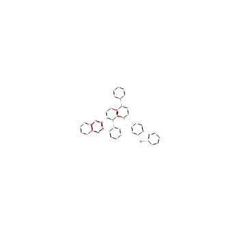 CC1(C)c2ccccc2-c2ccc(N(c3ccc(-c4ccccc4)cc3)c3cccc(-c4ccccc4)c3-c3ccccc3-c3ccc4ccccc4c3)cc21